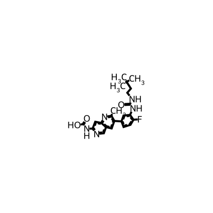 Cc1nc2cc(NC(=O)O)ncc2cc1-c1ccc(F)c(NC(=O)NCCC(C)(C)C)c1